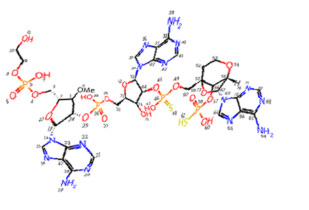 COC1[C@@H](COP(=O)(O)OCCO)O[C@@H](n2cnc3c(N)ncnc32)[C@H]1OP(=O)(O)OC[C@H]1O[C@@H](n2cnc3c(N)ncnc32)[C@@H](OP(O)(=S)OC[C@@]23CCO[C@@H](C2OP(=O)(O)S)[C@H](n2cnc4c(N)ncnc42)O3)C1O